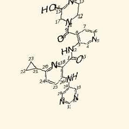 O=C(Nc1cnccc1C(=O)N1CCN=C(O)C1)c1nc(C2CC2)ccc1Nc1cncnc1